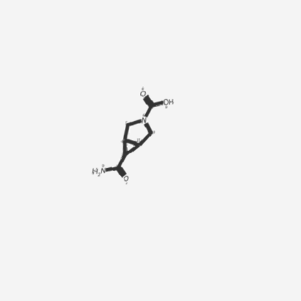 NC(=O)C1C2CN(C(=O)O)CC21